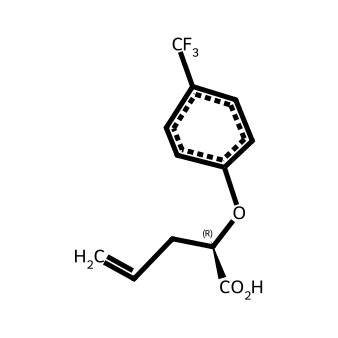 C=CC[C@@H](Oc1ccc(C(F)(F)F)cc1)C(=O)O